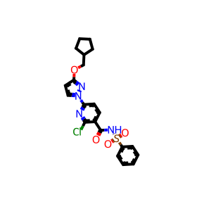 O=C(NS(=O)(=O)c1ccccc1)c1ccc(-n2ccc(OCC3CCCC3)n2)nc1Cl